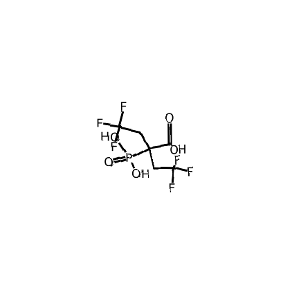 O=C(O)C(CC(F)(F)F)(CC(F)(F)F)P(=O)(O)O